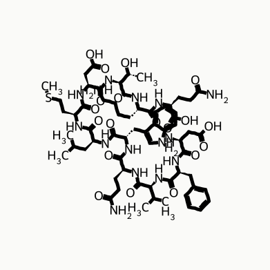 CSCC[C@H](NC(=O)[C@H](CC(C)C)NC(=O)[C@H](Cc1c[nH]c2ccccc12)NC(=O)[C@H](CCC(N)=O)NC(=O)[C@@H](NC(=O)[C@H](Cc1ccccc1)NC(=O)[C@@H](N)CC(=O)O)C(C)C)C(=O)N[C@@H](CC(=O)O)C(=O)N[C@H](C(=O)N[C@@H](CCCCN)C(=O)N[C@@H](CCC(N)=O)C(=O)O)[C@@H](C)O